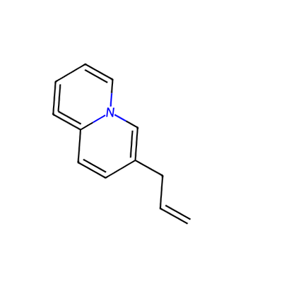 C=CCC1=CN2C=CC=C=C2C=C1